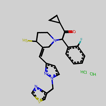 Cl.Cl.O=C(C1CC1)C(c1ccccc1F)N1CCC(S)/C(=C/c2ccn(Cc3cscn3)n2)C1